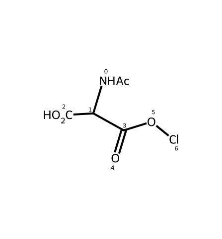 CC(=O)NC(C(=O)O)C(=O)OCl